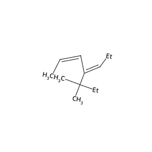 C/C=C\C(=C/CC)C(C)(C)CC